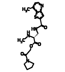 CN[C@H](CNC(=O)c1cc2nccc(C)c2s1)C(=O)OCC(=O)N1CCCC1